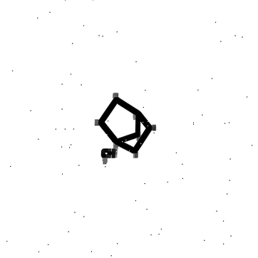 C1CC2CCC1C2.[CH]